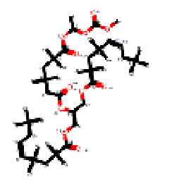 COC(=O)OC(C)OC(=O)C(C)(C)CC(C)(C)CC(=O)OC(COC(=O)C(C)(C)CC(C)(C)/C=C\CC(C)(C)C)COC(=O)C(C)(C)CC(C)(C)/C=C\CC(C)(C)C